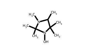 CC1N(C)C(C)(C)N(O)C1(C)C